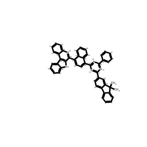 CC1(C)c2ccccc2-c2ccc(-c3nc(-c4ccccc4)nc(-c4ccc(-c5nc6ccccc6c6c5sc5ccccc56)c5ccccc45)n3)cc21